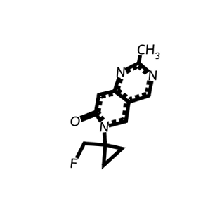 Cc1ncc2cn(C3(CF)CC3)c(=O)cc2n1